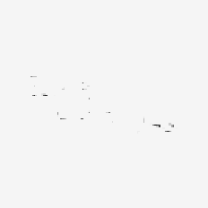 CCO[C@H]1CO[C@H]([C@H]2CC[C@H](C#N)CC2)OC1